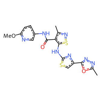 COc1ccc(NC(=O)c2c(C)nsc2Nc2nc(-c3nnc(C)o3)cs2)cn1